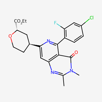 CCOC(=O)[C@@H]1C[C@@H](c2cc3nc(C)n(C)c(=O)c3c(-c3ccc(Cl)cc3F)n2)CCO1